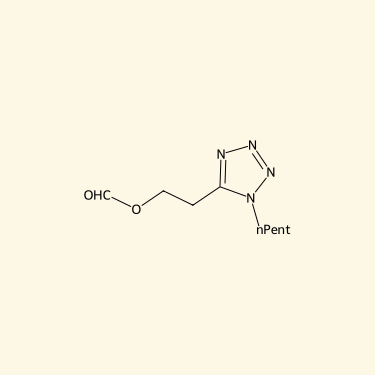 CCCCCn1nnnc1CCOC=O